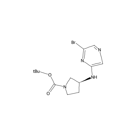 CC(C)(C)OC(=O)N1CC[C@H](Nc2cncc(Br)n2)C1